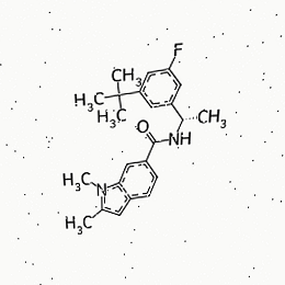 Cc1cc2ccc(C(=O)N[C@@H](C)c3cc(F)cc(C(C)(C)C)c3)cc2n1C